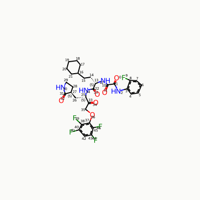 O=C(Nc1ccccc1F)C(=O)N[C@@H](CCC1CCCCC1)C(=O)N[C@@H](C[C@@H]1CCNC1=O)C(=O)COc1c(F)c(F)cc(F)c1F